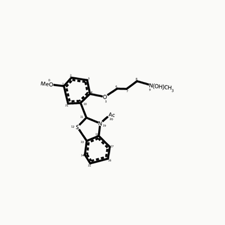 COc1ccc(OCCCN(C)O)c(C2Sc3ccccc3N2C(C)=O)c1